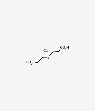 O=C(O)CCSCCC(=O)O.[Cu]